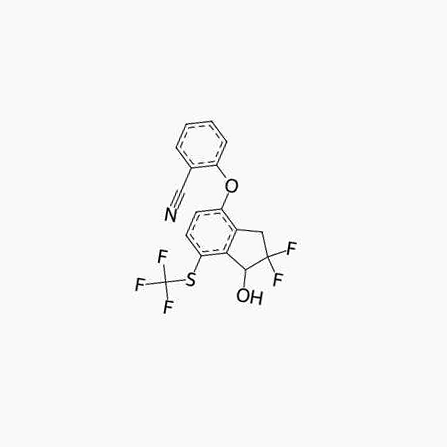 N#Cc1ccccc1Oc1ccc(SC(F)(F)F)c2c1CC(F)(F)C2O